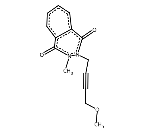 COCC#CCn1c(=O)c2ccccc2c(=O)n1C